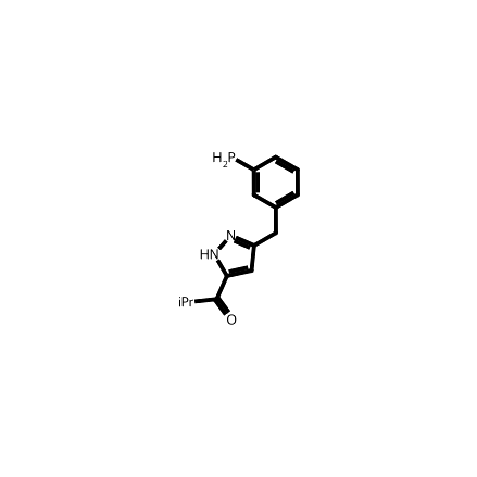 CC(C)C(=O)c1cc(Cc2cccc(P)c2)n[nH]1